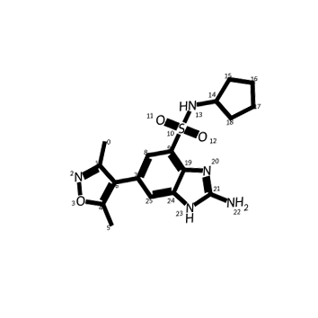 Cc1noc(C)c1-c1cc(S(=O)(=O)NC2CCCC2)c2nc(N)[nH]c2c1